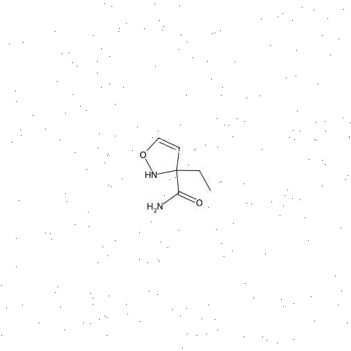 CCC1(C(N)=O)C=CON1